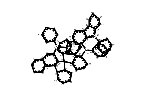 c1ccc(N(c2ccccc2)c2cc3ccccc3c3c2C2(c4ccccc4-c4c(N(c5ccccc5)c5cccc6c7ccccc7n(-c7ccccc7)c56)cccc42)c2ccccc2-3)cc1